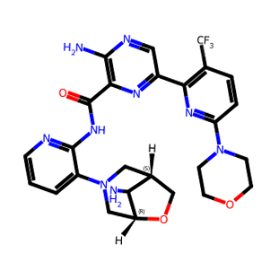 Nc1ncc(-c2nc(N3CCOCC3)ccc2C(F)(F)F)nc1C(=O)Nc1ncccc1N1C[C@@H]2CO[C@H](C1)C2N